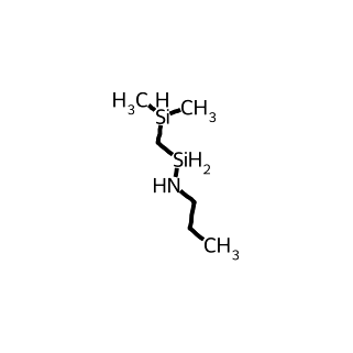 CCCN[SiH2]C[SiH](C)C